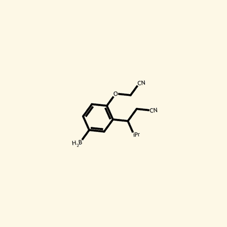 Bc1ccc(OCC#N)c(C(CC#N)C(C)C)c1